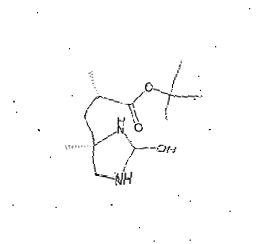 C[C@@H](C[C@]1(C)CNC(O)N1)C(=O)OC(C)(C)C